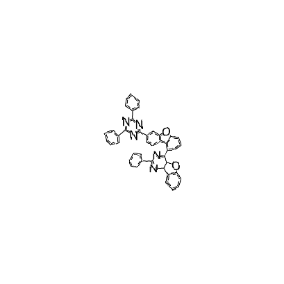 c1ccc(C2=NC3c4ccccc4OC3C(c3cccc4oc5cc(-c6nc(-c7ccccc7)nc(-c7ccccc7)n6)ccc5c34)=N2)cc1